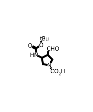 CC(C)(C)OC(=O)NC1CN(C(=O)O)CC1C=O